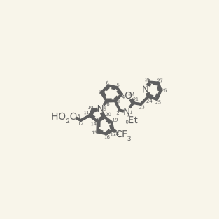 CCN(Cc1ccccc1-n1cc(CC(=O)O)c2ccc(C(F)(F)F)cc21)C(=O)Cc1ccccn1